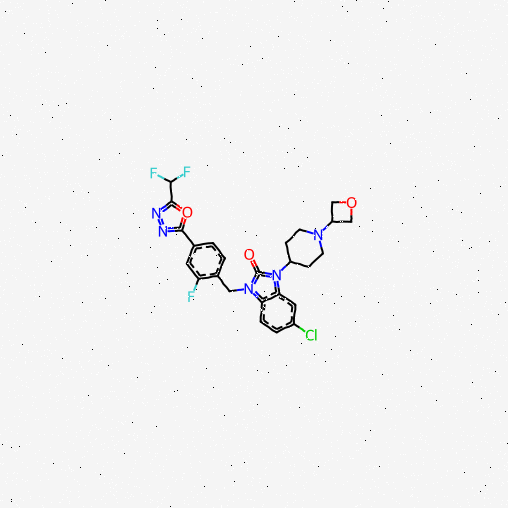 O=c1n(Cc2ccc(-c3nnc(C(F)F)o3)cc2F)c2ccc(Cl)cc2n1C1CCN(C2COC2)CC1